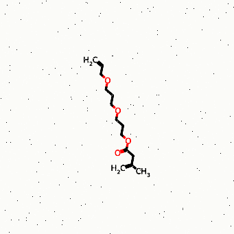 C=CCOCCCOCCCOC(=O)CC(=C)C